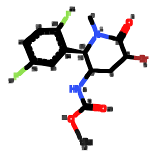 CN1C(=O)C(Br)CC(NC(=O)OC(C)(C)C)[C@H]1c1cc(F)ccc1F